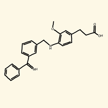 COc1cc(CCC(=O)O)ccc1NCc1cccc(C(=N)c2ccccc2)c1